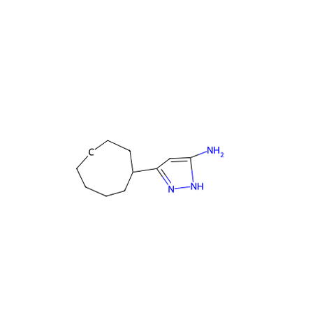 Nc1cc(C2CCCCCCC2)n[nH]1